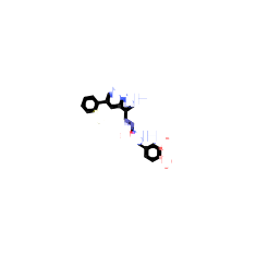 COc1ccc(CNC(=O)/C=C/c2c[nH]c3ncc(-c4ccccc4SC)cc23)cc1OC